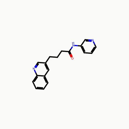 O=C(CCCc1cnc2ccccc2c1)Nc1cccnc1